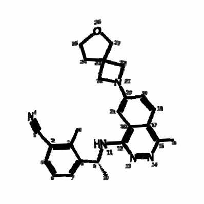 Cc1c(C#N)cccc1[C@@H](C)Nc1nnc(C)c2ccc(N3CC4(CCOC4)C3)cc12